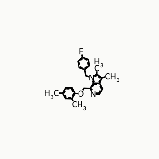 Cc1ccc(OCc2nccc3c(C)c(C)n(Cc4ccc(F)cc4)c23)c(C)c1